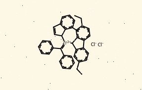 CCc1ccc2c(c1)[CH]([Zr+2](=[C](c1ccccc1)c1ccccc1)[CH]1C=Cc3cccc(C)c31)c1cc(CC)ccc1-2.[Cl-].[Cl-]